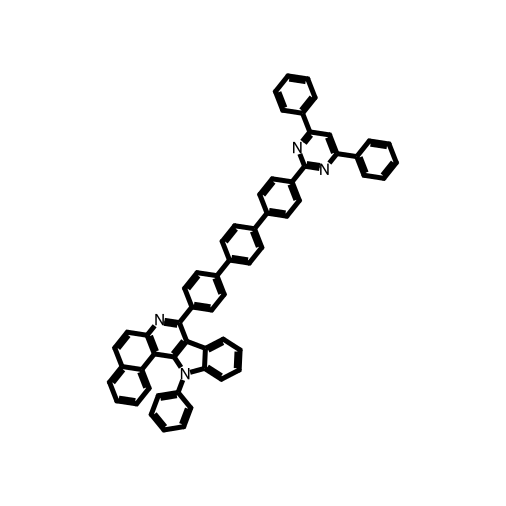 c1ccc(-c2cc(-c3ccccc3)nc(-c3ccc(-c4ccc(-c5ccc(-c6nc7ccc8ccccc8c7c7c6c6ccccc6n7-c6ccccc6)cc5)cc4)cc3)n2)cc1